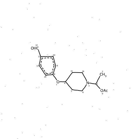 CC(=O)OC(C)N1CCC(Oc2ccc(C=O)cc2)CC1